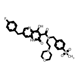 CS(=O)(=O)c1ccc(CN(CCN2CCOCC2)C(=O)c2c(O)c3ncc(Cc4ccc(F)cc4)cc3[nH]c2=O)cc1